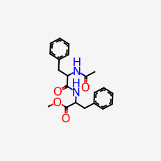 COC(=O)C(Cc1ccccc1)NC(=O)C(Cc1ccccc1)NC(C)=O